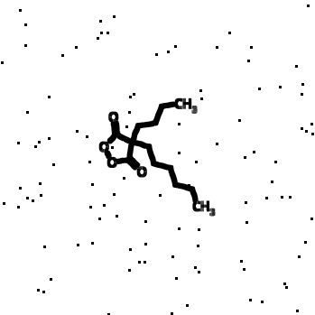 CCCCCCC1(CCCC)C(=O)OOC1=O